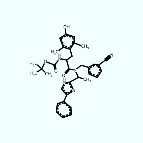 Cc1cc(O)cc(C)c1CC(NC(=O)OC(C)(C)C)C(=O)N(Cc1cccc(C#N)c1)C(C)c1nc(-c2ccccc2)c[nH]1